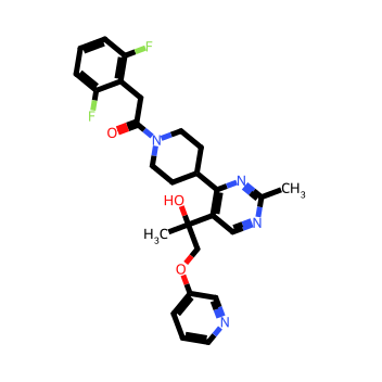 Cc1ncc(C(C)(O)COc2cccnc2)c(C2CCN(C(=O)Cc3c(F)cccc3F)CC2)n1